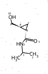 CC(C)NC(=O)[C@H]1C[C@@H]1CO